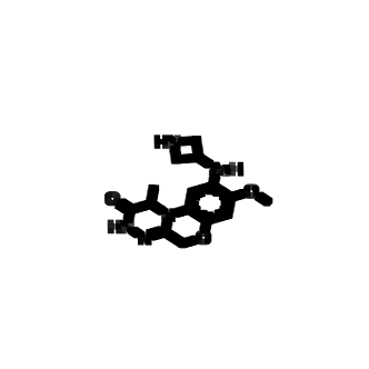 COc1cc2c(cc1[AsH]C1CNC1)N1C(=NNC(=O)C1C)CO2